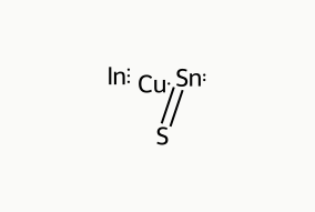 [Cu].[In].[S]=[Sn]